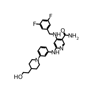 NC(=O)c1cnc(Nc2cccc(N3CCC(CCO)CC3)c2)cc1NCc1cc(F)cc(F)c1